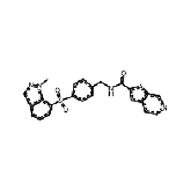 Cn1ncc2cccc(S(=O)(=O)c3ccc(CNC(=O)c4cc5ccncc5s4)cc3)c21